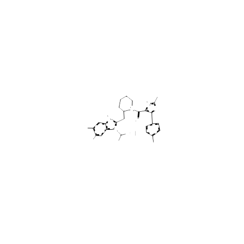 Cc1nc(C(=O)N2CCCCC2Cc2nc3cc(F)c(F)cc3n2C(C)O)c(-c2ccc(F)cc2)s1